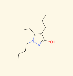 CCCCn1nc(O)c(CCC)c1CC